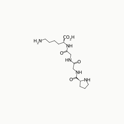 NCCCC[C@H](NC(=O)CNC(=O)CNC(=O)[C@@H]1CCCN1)C(=O)O